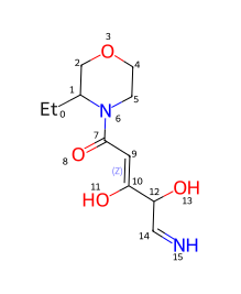 CCC1COCCN1C(=O)/C=C(\O)C(O)C=N